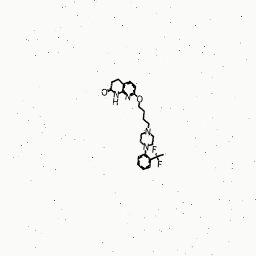 CC(F)(F)c1ccccc1N1CCN(CCCCOc2ccc3c(n2)NC(=O)CC3)CC1